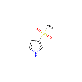 CS(=O)(=O)c1cc[nH]c1